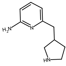 Nc1cccc(CC2CCNC2)n1